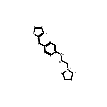 c1csc(Cc2ccc(OCCN3CCCC3)cc2)c1